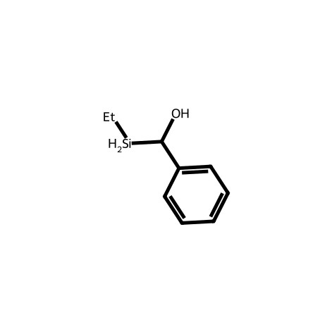 CC[SiH2]C(O)c1ccccc1